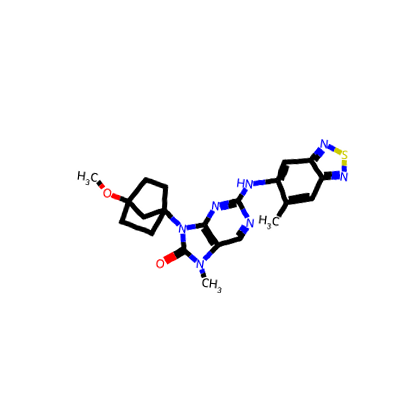 COC12CCC(n3c(=O)n(C)c4cnc(Nc5cc6nsnc6cc5C)nc43)(CC1)C2